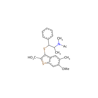 COc1cc2sc(C(=O)O)c(SC(c3ccccc3)C(C)N(C)C(C)=O)c2cc1C